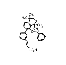 CC1(C)CCC(C)(C)c2c1ccc(-c1cccc(C=CC(=O)O)c1)c2OCc1ccccc1